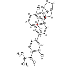 CN(C)C(=O)c1ccc(-c2ccc(N3CC4CCC(C3)N4Sc3c(Cl)cccc3Cl)cc2)cc1Cl